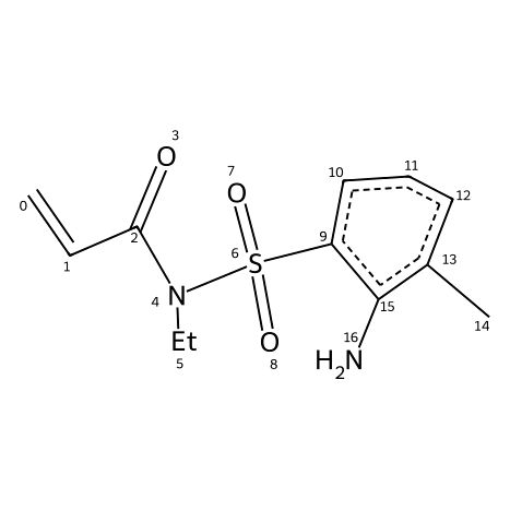 C=CC(=O)N(CC)S(=O)(=O)c1cccc(C)c1N